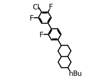 CCCCC1CCC2CC(c3ccc(-c4cc(F)c(Cl)c(F)c4)c(F)c3)CCC2C1